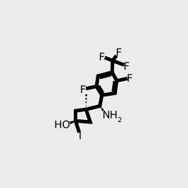 C[C@]1([C@@H](N)c2cc(F)c(C(F)(F)F)cc2F)C[C@](O)(I)C1